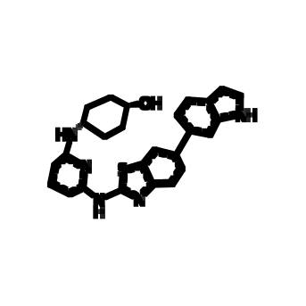 O[C@H]1CC[C@H](Nc2cccc(Nc3nc4ccc(-c5ccc6cc[nH]c6c5)cc4s3)n2)CC1